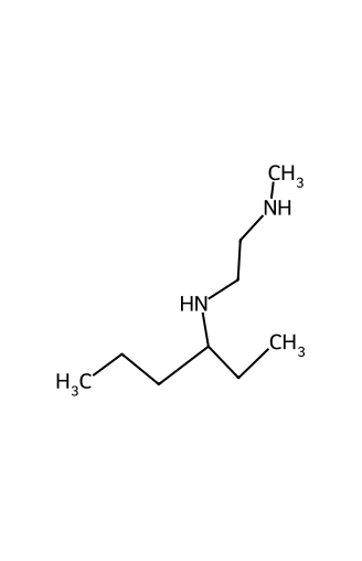 CCCC(CC)NCCNC